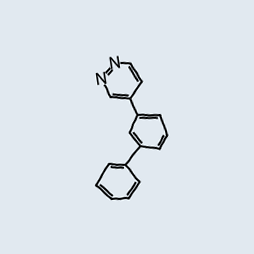 c1ccc(-c2cccc(-c3ccnnc3)c2)cc1